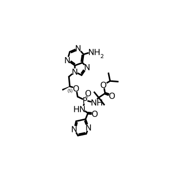 CC(C)OC(=O)C(C)(C)NP(=O)(CO[C@@H](C)Cn1cnc2c(N)ncnc21)NC(=O)c1cnccn1